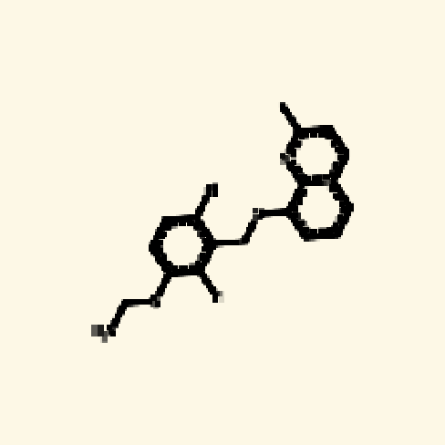 Cc1ccc2cccc(OCc3c(Cl)ccc(OCN)c3Cl)c2n1